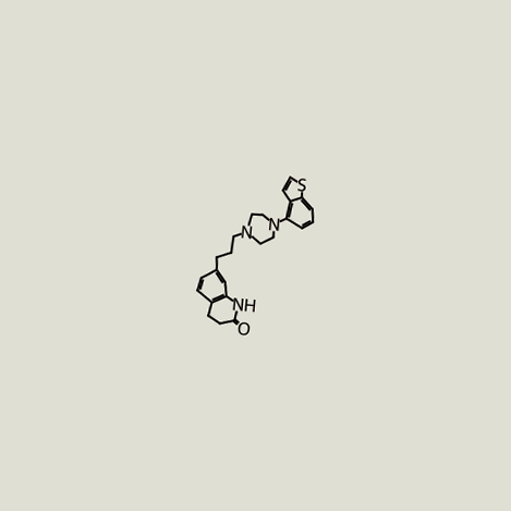 O=C1CCc2ccc(CCCN3CCN(c4cccc5sccc45)CC3)cc2N1